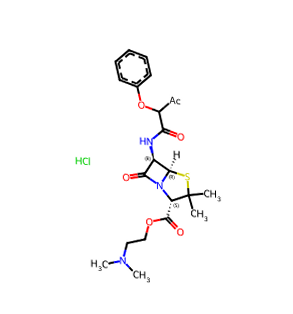 CC(=O)C(Oc1ccccc1)C(=O)N[C@@H]1C(=O)N2[C@@H]1SC(C)(C)[C@@H]2C(=O)OCCN(C)C.Cl